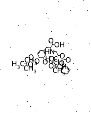 CC(CN[C@@H](Cc1ccc(OC(=O)OC(C)(C)C)c(OC(=O)OC(C)(C)C)c1)C(=O)O)OC(=O)Oc1ccccc1